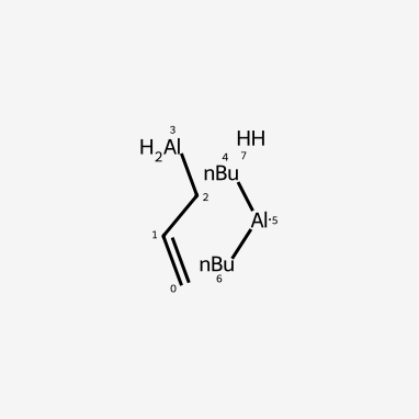 C=C[CH2][AlH2].CCC[CH2][Al][CH2]CCC.[HH]